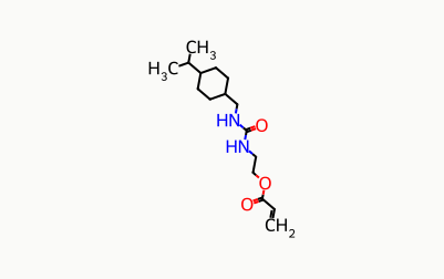 C=CC(=O)OCCNC(=O)NCC1CCC(C(C)C)CC1